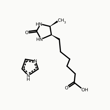 C[C@@H]1NC(=O)N[C@@H]1CCCCCC(=O)O.c1c[nH]cn1